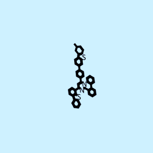 CC1C=Cc2sc3cc(-c4ccc(-c5cc(-c6cccc7c6sc6ccccc67)nc(-c6ccccc6-c6ccccc6)n5)cc4)ccc3c2C1